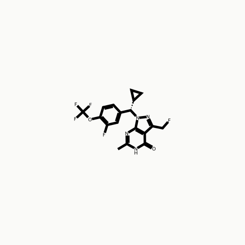 Cc1nc2c(c(CF)nn2[C@H](c2ccc(OC(F)(F)F)c(F)c2)C2CC2)c(=O)[nH]1